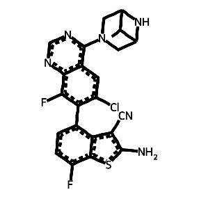 CC1C2CN(c3ncnc4c(F)c(-c5ccc(F)c6sc(N)c(C#N)c56)c(Cl)cc34)CC1N2